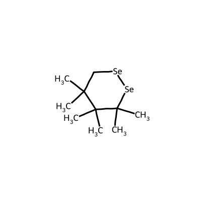 CC1(C)C[Se][Se]C(C)(C)C1(C)C